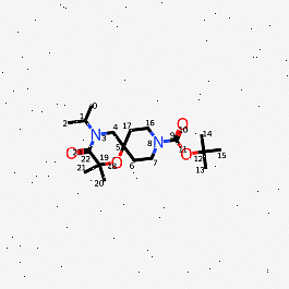 CC(C)N1CC2(CCN(C(=O)OC(C)(C)C)CC2)OC(C)(C)C1=O